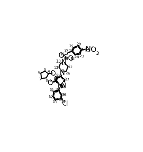 O=c1c(OC2CCCC2)c(N2CCN(S(=O)(=O)Cc3ccc([N+](=O)[O-])cc3)CC2)cnn1-c1cccc(Cl)c1